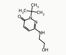 CC(C)(C)n1nc(NCCO)ccc1=O